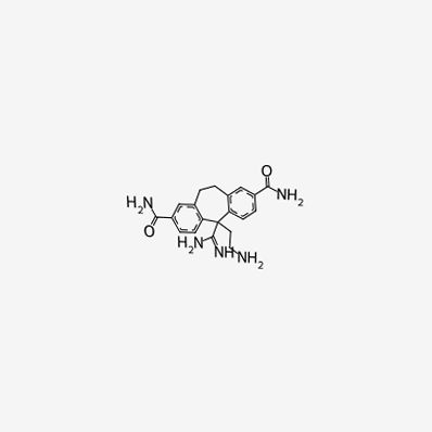 N=C(N)C1(CCN)c2ccc(C(N)=O)cc2CCc2cc(C(N)=O)ccc21